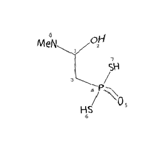 CNC(O)CP(=O)(S)S